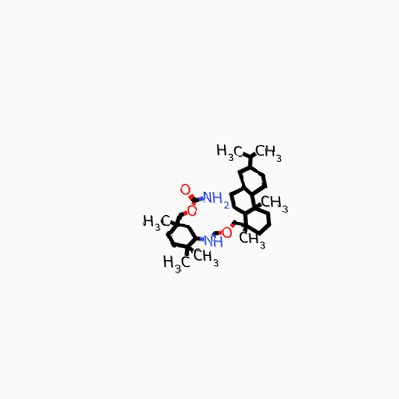 CC(C)C1CCC2C(CCC3C(C)(COCNC4CC(C)(COC(N)=O)CCC4(C)C)CCCC23C)C1